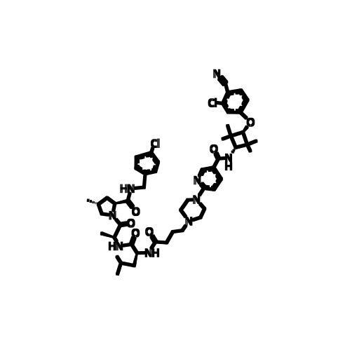 CC(C)C[C@H](NC(=O)CCCN1CCN(c2ccc(C(=O)N[C@H]3C(C)(C)[C@H](Oc4ccc(C#N)c(Cl)c4)C3(C)C)cn2)CC1)C(=O)N[C@@H](C)C(=O)N1C[C@H](C)C[C@H]1C(=O)NCc1ccc(Cl)cc1